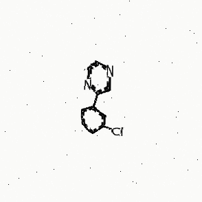 Clc1cccc(-c2cnc[c]n2)c1